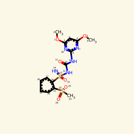 COc1cc(OC)nc(NC(=O)NS(=N)(=O)c2ccccc2S(C)(=O)=O)n1